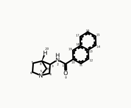 O=C(NC1CN2CC[C@H]1C2)c1ccc2ccccc2c1